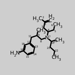 C=C(C)CC(CC)N(CC(C)Cc1cccc(N)c1)C(C)CCC